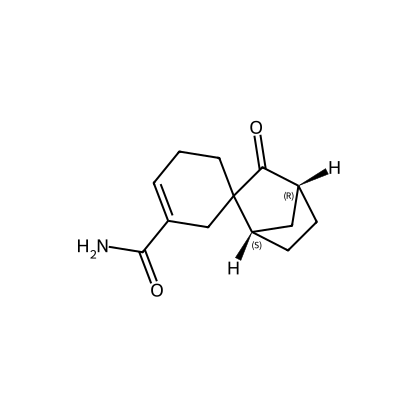 NC(=O)C1=CCCC2(C1)C(=O)[C@@H]1CC[C@H]2C1